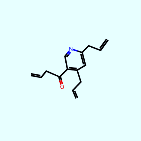 C=CCC(=O)c1cnc(CC=C)cc1CC=C